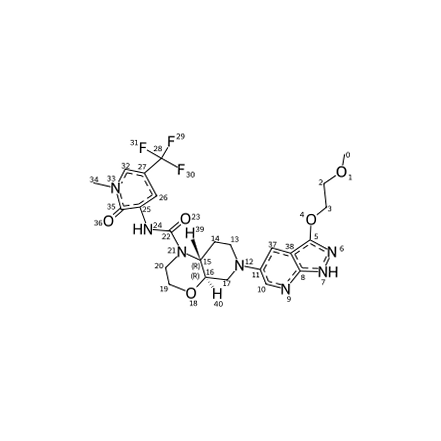 COCCOc1n[nH]c2ncc(N3CC[C@@H]4[C@@H](C3)OCCN4C(=O)Nc3cc(C(F)(F)F)cn(C)c3=O)cc12